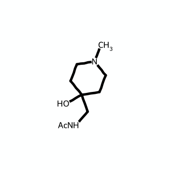 CC(=O)NCC1(O)CCN(C)CC1